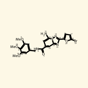 COc1cc(CNC(=O)c2cc(N)n3nc(-c4ccc(Br)o4)nc3c2)cc(OC)c1OC